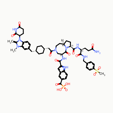 C=C1N(C)c2cc(C[C@H]3CC[C@@H](CC(=O)N4CC[C@H]5CC[C@@H](C(=O)N[C@@H](CCC(N)=O)C(=O)NCc6ccc(S(C)(=O)=O)cc6)N5C(=O)[C@@H](NC(=O)c5cc6cc(C(=O)P(=O)(O)O)ccc6[nH]5)C4)CC3)ccc2N1C1CCC(=O)NC1=O